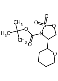 CC(C)(C)OC(=O)N1[C@H](C2CCCCO2)COS1(=O)=O